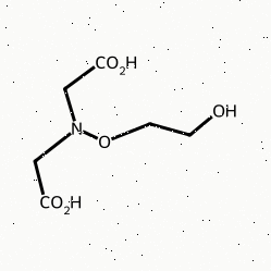 O=C(O)CN(CC(=O)O)OCCO